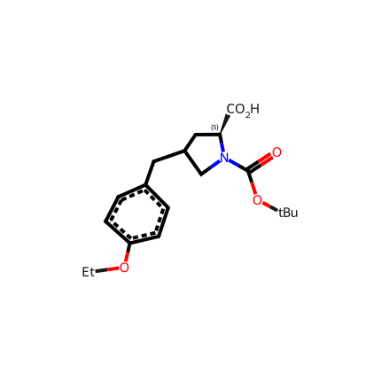 CCOc1ccc(CC2C[C@@H](C(=O)O)N(C(=O)OC(C)(C)C)C2)cc1